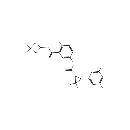 O=C(NC1CC(F)(F)C1)c1cc(NC(=O)[C@H]2[C@H](c3cc(Cl)cc(Cl)c3)C2(Br)Br)ccc1Cl